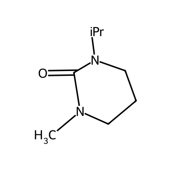 CC(C)N1CCCN(C)C1=O